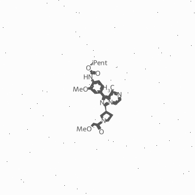 CCC[C@H](C)OC(=O)Nc1ccc(-c2nc([C@H]3CCN(C(=O)COC)C3)n3ccnc(C)c23)cc1OC